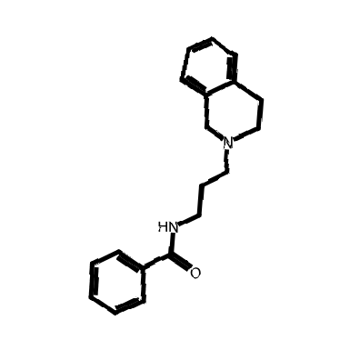 O=C(NCCCN1CCc2ccccc2C1)c1ccccc1